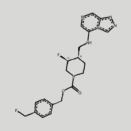 O=C(OCc1ccc(CF)cc1)N1CC[C@H](CNc2cncc3nncn23)[C@H](F)C1